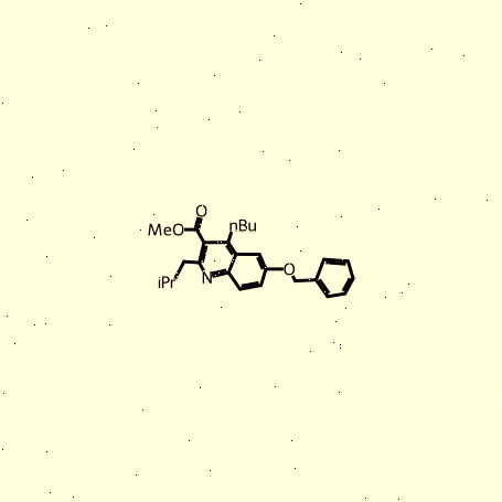 CCCCc1c(C(=O)OC)c(CC(C)C)nc2ccc(OCc3ccccc3)cc12